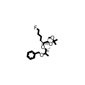 CC(OCc1ccccc1)[C@@H](C)O[C@@H](CCCCF)[C@@H]1COC(C)(C)O1